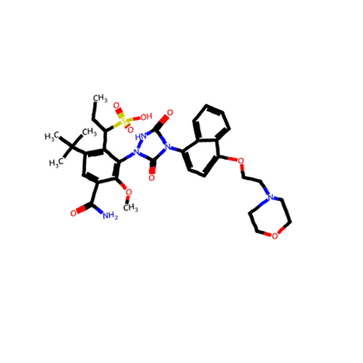 CCC(c1c(C(C)(C)C)cc(C(N)=O)c(OC)c1-n1[nH]c(=O)n(-c2ccc(OCCN3CCOCC3)c3ccccc23)c1=O)S(=O)(=O)O